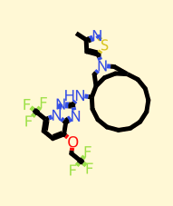 Cc1cc(N2CC3CCCCCCCCCCC(Nc4nc5c(OCC(F)(F)F)ccc(C(F)(F)F)n5n4)C(CC3)C2)sn1